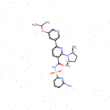 CC(C)Oc1cncc(-c2ccc(C(=O)NS(=O)(=O)c3cccc(N)n3)c(N3[C@H](C)CC[C@@H]3C)n2)c1